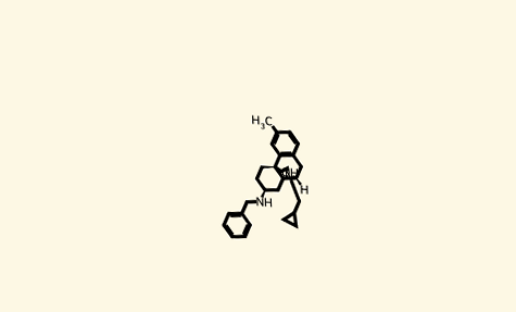 Cc1ccc2c(c1)[C@@]13CC[C@H](NCc4ccccc4)C[C@@]1(O)[C@@H](C2)N(CC1CC1)CC3